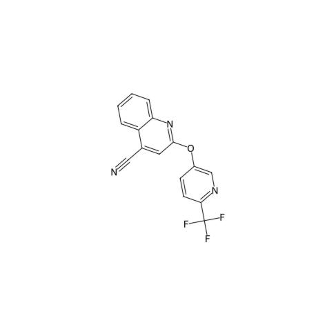 N#Cc1cc(Oc2ccc(C(F)(F)F)nc2)nc2ccccc12